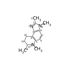 Cc1nc2c3c(ccc2n1C)N(C)C(C)CC3